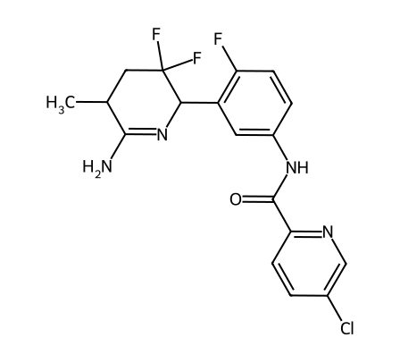 CC1CC(F)(F)C(c2cc(NC(=O)c3ccc(Cl)cn3)ccc2F)N=C1N